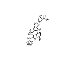 CC(C)N[C@H]1CN(c2ncc3c4c(c(-c5ncc(F)c6sc(NC(=O)OC(C)(C)C)c(C#N)c56)c(F)c3n2)COC4)CC12CC2